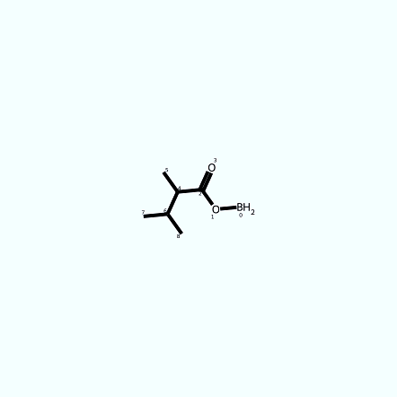 BOC(=O)[C](C)C(C)C